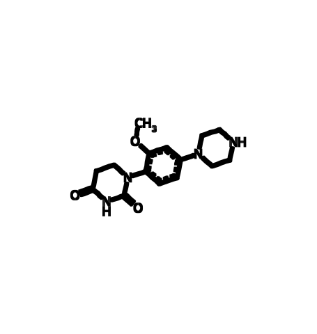 COc1cc(N2CCNCC2)ccc1N1CCC(=O)NC1=O